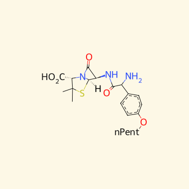 CCCCCOc1ccc(C(N)C(=O)N[C@@H]2C(=O)N3[C@@H]2SC(C)(C)[C@@H]3C(=O)O)cc1